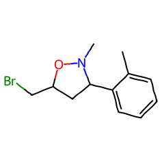 Cc1ccccc1C1CC(CBr)ON1C